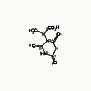 CC(C(=O)O)N1C(=O)CC(=O)NC1=O